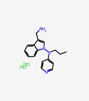 CCCN(c1ccncc1)n1cc(CN)c2ccccc21.Cl.Cl